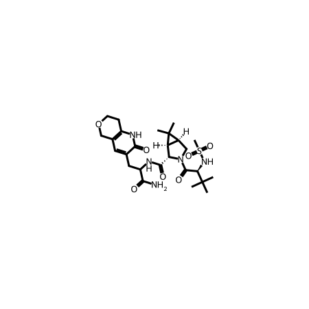 CC(C)(C)[C@H](NS(C)(=O)=O)C(=O)N1C[C@H]2[C@@H]([C@H]1C(=O)NC(Cc1cc3c([nH]c1=O)CCOC3)C(N)=O)C2(C)C